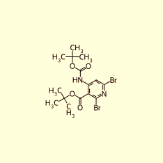 CC(C)(C)OC(=O)Nc1cc(Br)nc(Br)c1C(=O)OC(C)(C)C